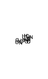 C=Nc1cc(OC)c(OC)cc1/C(=C\C)Oc1ccc(NC(=O)c2nn(-c3cnccc3CO)cc2OCC)nc1